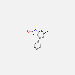 Cc1cc2c(c(-c3ccccc3)c1)CC(=O)N2